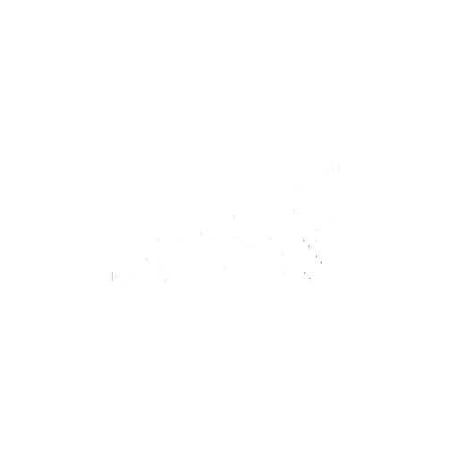 CC(C)c1ccc(-n2nncc2COC(=O)c2ccc(SC(C)(C)C(=O)O)cc2)cc1